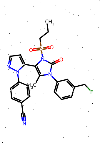 CCCS(=O)(=O)n1c(-c2ccnn2-c2ccc(C#N)cc2)c(C)n(-c2cccc(CF)c2)c1=O